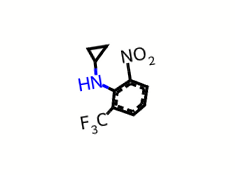 O=[N+]([O-])c1cccc(C(F)(F)F)c1NC1CC1